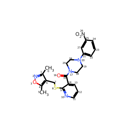 Cc1noc(C)c1CSc1ncccc1C(=O)N1CCN(c2cccc([N+](=O)[O-])c2)CC1